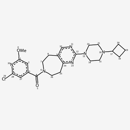 COc1cc(C(=O)N2CCc3cnc(N4CCN(C5CCC5)CC4)nc3CC2)cc(Cl)n1